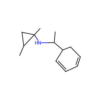 CC(NC1(C)CC1C)C1C=CC=CC1